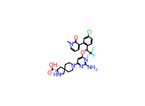 Cn1cccc(-c2cc(Cl)ccc2[C@@H](Oc2cc(N3CCC4(CC3)CN[C@H](C(=O)O)C4)nc(N)n2)C(F)(F)F)c1=O